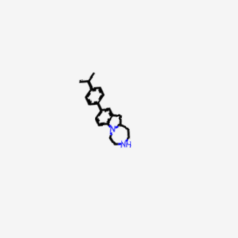 CC(C)c1ccc(-c2ccc3c(c2)CC2CCNCCN32)cc1